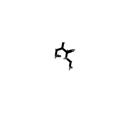 CSCC(C)C(=O)OCC(C)C